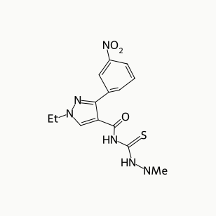 CCn1cc(C(=O)NC(=S)NNC)c(-c2cccc([N+](=O)[O-])c2)n1